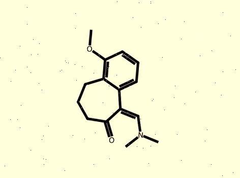 COc1cccc2c1CCCC(=O)C2=CN(C)C